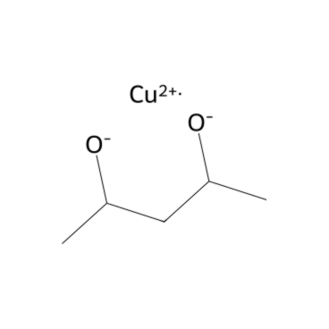 CC([O-])CC(C)[O-].[Cu+2]